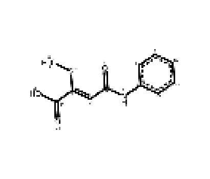 CSC(=CC(=O)Nc1ccccc1)C(=O)O